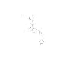 CCCN(CC1CC1)C(=O)C(=O)c1cn(C)c2cc(Cl)c(C(=O)N3CCC(Cc4ccc(F)cc4)CC3)cc12